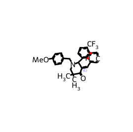 COc1ccc(CN2CC(C)(C)C(=O)/C(=C/c3ccccn3)C2c2ccc(C(F)(F)F)cc2)cc1